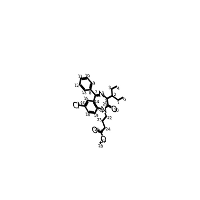 CCC(CC)C1N=C(c2ccccc2)c2cc(Cl)ccc2N(CCCC(=O)OC)C1=O